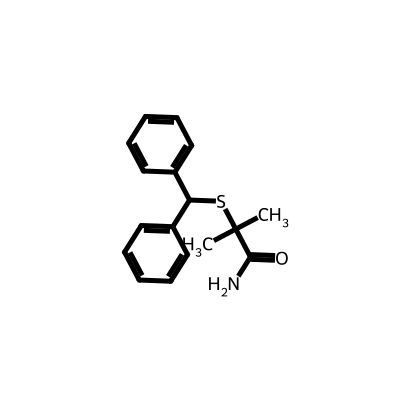 CC(C)(SC(c1ccccc1)c1ccccc1)C(N)=O